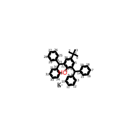 CC(C)(C)c1cc(C(c2ccccc2)c2ccccc2)c(O)c(C(c2ccccc2)c2ccccc2)c1.[K]